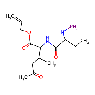 C=CCOC(=O)C(NC(=O)C(CC)NP)C(C)CC(C)=O